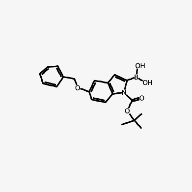 CC(C)(C)OC(=O)n1c(B(O)O)cc2cc(OCc3ccccc3)ccc21